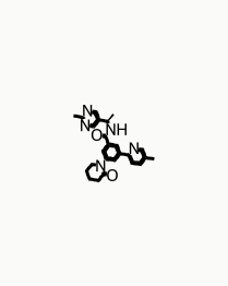 Cc1ccc(-c2cc(C(=O)N[C@H](C)c3cnc(C)nc3)cc(N3CCCCC3=O)c2)nc1